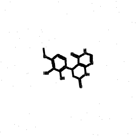 COc1ccc(C2CC(=O)Nc3nc[nH]c(=O)c32)c(O)c1O